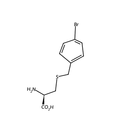 N[C@@H](CSCc1ccc(Br)cc1)C(=O)O